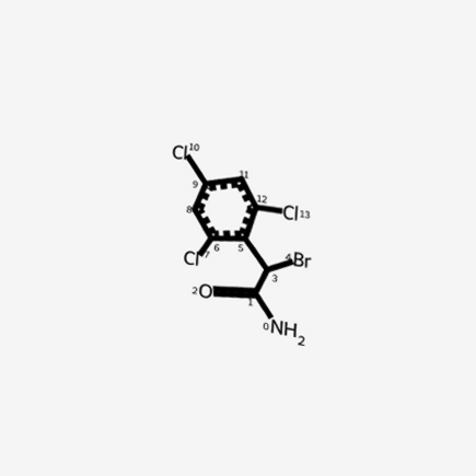 NC(=O)C(Br)c1c(Cl)cc(Cl)cc1Cl